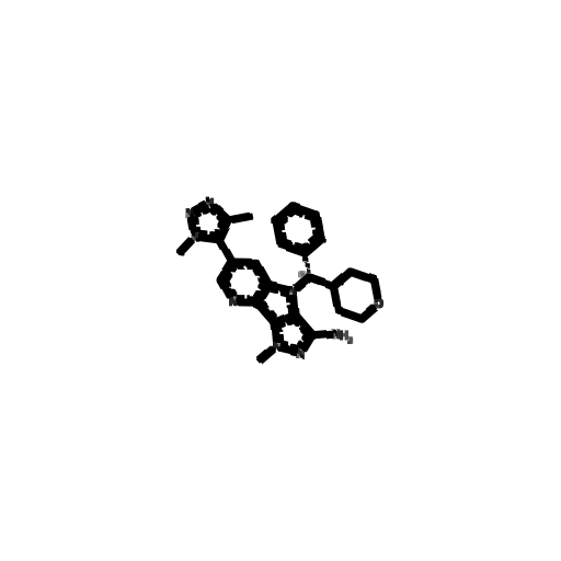 Cc1nnn(C)c1-c1cnc2c3c(c(N)nn3C)n([C@H](c3ccccc3)C3CCOCC3)c2c1